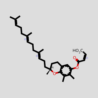 CC(C)=CCC/C(C)=C/CC/C(C)=C/CC[C@]1(C)CCc2cc(OC(=O)/C=C\C(=O)O)c(C)c(C)c2O1